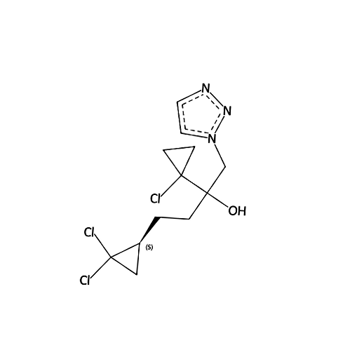 OC(CC[C@H]1CC1(Cl)Cl)(Cn1ccnn1)C1(Cl)CC1